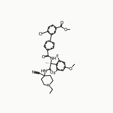 CCN1CCC(C#N)(NC(=O)[C@@](C)(NC(=O)c2ccc(-c3cc(C(=O)OC)ccc3Cl)cc2)c2c(F)cc(OC)cc2F)CC1